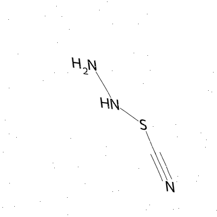 N#CSNN